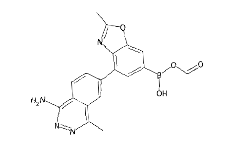 Cc1nc2c(-c3ccc4c(N)nnc(C)c4c3)cc(B(O)OC=O)cc2o1